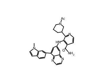 CC(=O)N1CCCC(c2nccc(C(N)=O)c2Nc2cc(-c3ccc4ccn(C)c4c3)c3nccnc3c2)C1